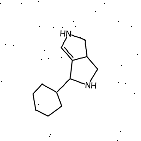 C1=C2C(CN1)CNC2C1CCCCC1